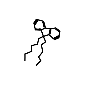 CCCCCCC1(CCCCCC)c2c#cccc2-c2cc#ccc21